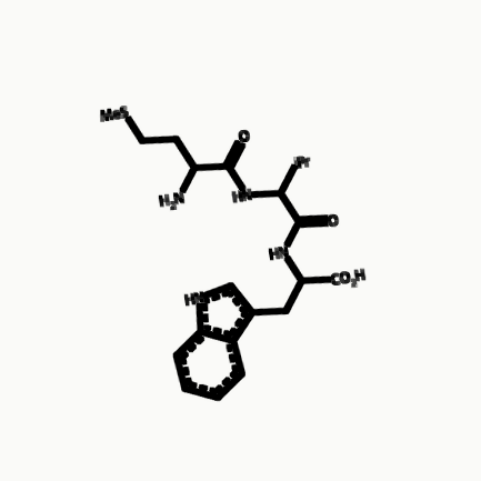 CSCCC(N)C(=O)NC(C(=O)NC(Cc1c[nH]c2ccccc12)C(=O)O)C(C)C